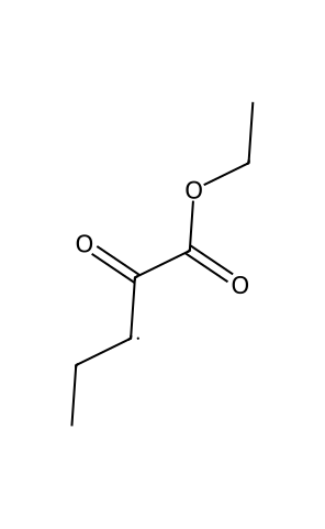 CC[CH]C(=O)C(=O)OCC